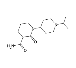 CC(C)N1CCC(N2CCCC(C(N)=O)C2=O)CC1